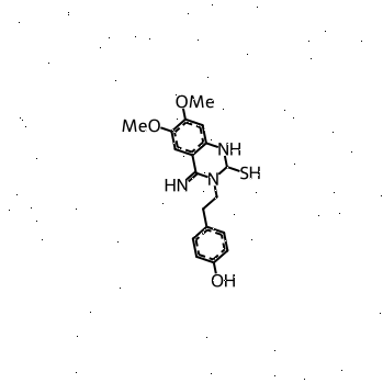 COc1cc2c(cc1OC)C(=N)N(CCc1ccc(O)cc1)C(S)N2